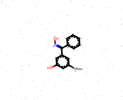 CCCCCCCCCc1cc(O)cc(C(=NO)c2ccccc2)c1